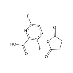 O=C(O)c1nc(F)ccc1F.O=C1CCC(=O)O1